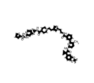 Cc1ccc(NC(=O)C2(c3ccc4c(c3)OC(F)(F)O4)CC2)nc1-c1cccc(C(=O)NCCn2cc(CCN3CCC(C(=O)Nc4nc5cnc(NS(=O)(=O)c6cccs6)cc5s4)CC3)cn2)c1